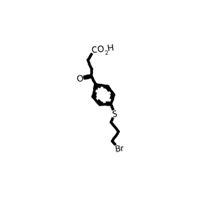 O=C(O)CCC(=O)c1ccc(SCCCBr)cc1